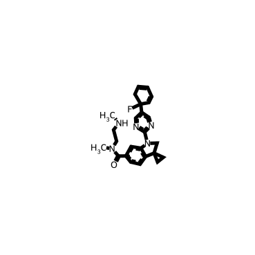 CNCCN(C)C(=O)c1ccc2c(c1)N(c1ncc(C3(F)C=CC=CC3)cn1)CC21CC1